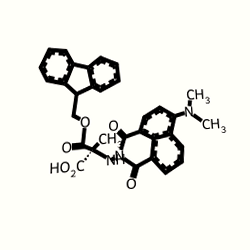 CN(C)c1ccc2c3c(cccc13)C(=O)N(N[C@@](C)(C(=O)O)C(=O)OCC1c3ccccc3-c3ccccc31)C2=O